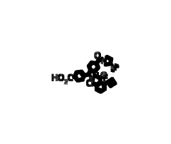 CN(C)[C@@H]1CCN(C(=O)C2CCc3c(C4=CCC(C(=O)O)CC4)nn(C(=O)c4c(Cl)cccc4C4(F)CCC4)c3C2)C1